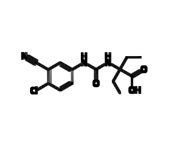 CCC(CC)(NC(=O)Nc1ccc(Cl)c(C#N)c1)C(=O)O